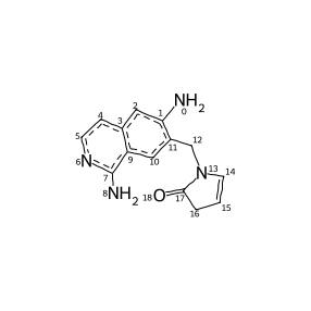 Nc1cc2ccnc(N)c2cc1CN1C=CCC1=O